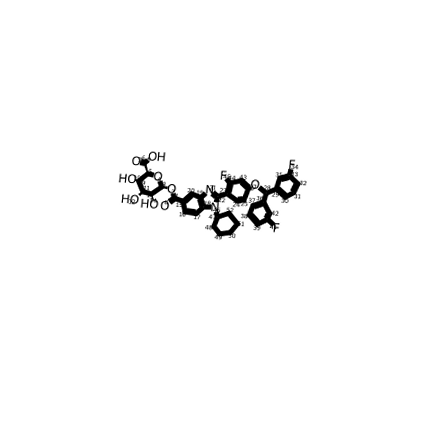 O=C(O[C@@H]1O[C@H](C(=O)O)[C@@H](O)[C@H](O)[C@H]1O)c1ccc2c(c1)nc(-c1ccc(OC(c3cccc(F)c3)c3cccc(F)c3)cc1F)n2C1CCCCC1